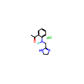 CC(=O)c1ccccc1N(F)CC1=NCCN1.Cl